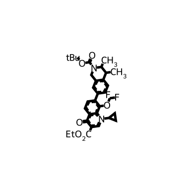 CCOC(=O)c1cn(C2CC2)c2c(OC(F)F)c(-c3ccc4c(c3)CN(C(=O)OC(C)(C)C)C(C)C4C)ccc2c1=O